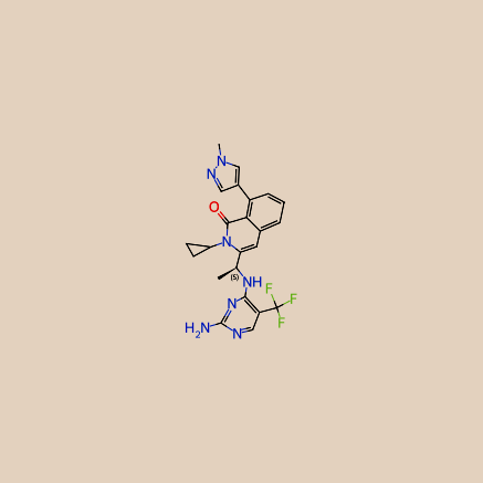 C[C@H](Nc1nc(N)ncc1C(F)(F)F)c1cc2cccc(-c3cnn(C)c3)c2c(=O)n1C1CC1